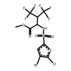 COC(=O)C(NS(=O)(=O)c1cc(Br)c(Cl)s1)C(C(F)(F)F)C(F)(F)F